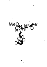 COC(=O)/N=C(/NCCNC(=O)CBr)NCCC(=O)ON1C(=O)CCC1=O